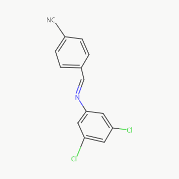 N#Cc1ccc(C=Nc2cc(Cl)cc(Cl)c2)cc1